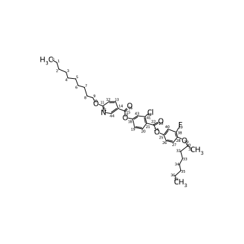 CCCCCCCCCCOc1ccc(C(=O)Oc2ccc(C(=O)Oc3ccc(OC(C)CCCCCC)c(F)c3)c(Cl)c2)cn1